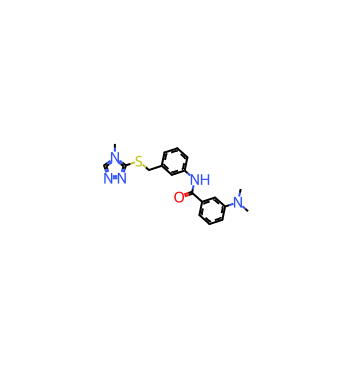 CN(C)c1cccc(C(=O)Nc2cccc(CSc3nncn3C)c2)c1